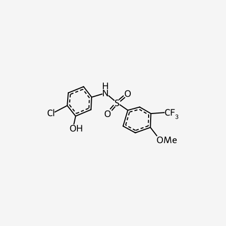 COc1ccc(S(=O)(=O)Nc2ccc(Cl)c(O)c2)cc1C(F)(F)F